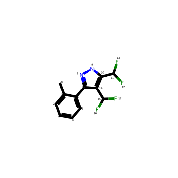 Cc1ccccc1C1=N[N]C(C(F)F)=C1C(F)F